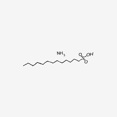 CCCCCCCCCCCCCS(=O)(=O)O.N